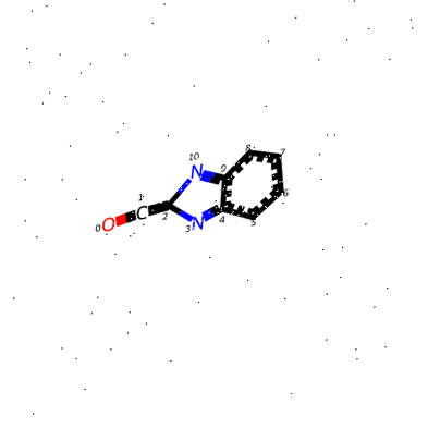 O=C=C1N=c2ccccc2=N1